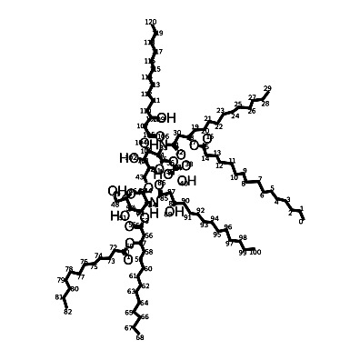 CCCCCCCCCCCCCCCC(=O)OC(CCCCCCCCCCC)CC(=O)NC1C(OP(=O)(O)O)OC(CO[C@@H]2OC(CO)[C@@H](O)[C@H](OC(=O)CC(CCCCCCCCCCC)OC(=O)CCCCCCCCCCC)C2NC(=O)CC(O)CCCCCCCCCCC)[C@@H](O)[C@@H]1OC(=O)CC(O)CCCCCCCCCCC